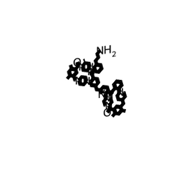 Cc1cc(C)c(C(=O)N2CCN(c3cccc(Cc4ccc(C#N)c(N5CCN(Cc6cc(C(=O)N7CCN(c8ccccc8CCCN)C[C@@H]7C)c(C)cc6C)CC5)c4)n3)CC2)cc1CC1CCN(c2ccccc2C#N)CC1